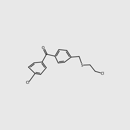 O=C(c1ccc(Cl)cc1)c1ccc(CSCCCl)cc1